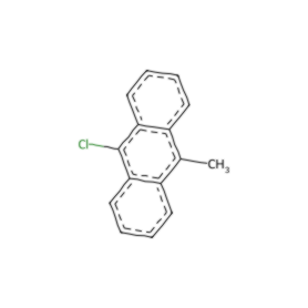 Cc1c2ccccc2c(Cl)c2ccccc12